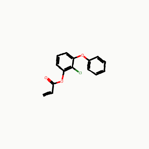 C=CC(=O)Oc1cccc(Oc2ccccc2)c1Cl